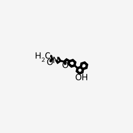 C=CC(=O)N1CC(c2cc3ccc(-c4cc(O)cc5ccccc45)cc3o2)C1